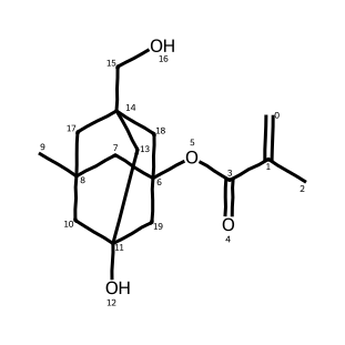 C=C(C)C(=O)OC12CC3(C)CC(O)(CC(CO)(C3)C1)C2